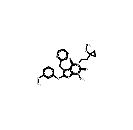 Cn1c(=O)n(CCC2(ON)CC2)c(=O)c2c1nc(Oc1cccc(OC(F)(F)F)c1)n2Cc1ccccn1